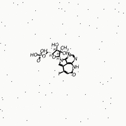 C[C@@]1(O)[C@H](O)[C@@H](COP(=O)(O)O)O[C@H]1n1cc2c3c(ncnc31)NC(=O)C=C2I